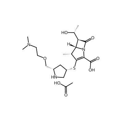 CC(=O)O.C[C@@H](O)[C@H]1C(=O)N2C(C(=O)O)=C(S[C@@H]3CN[C@H](COCCN(C)C)C3)[C@H](C)[C@H]12